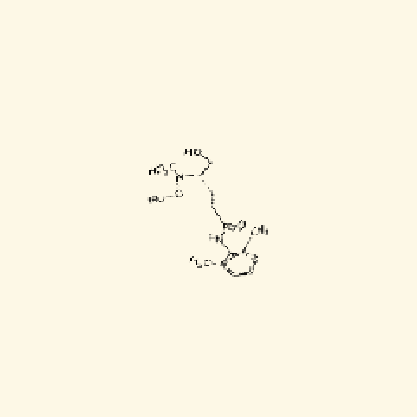 Cc1cccc(C)c1NC(=O)CC[C@@H](CO)N(OC(C)(C)C)C(=O)O